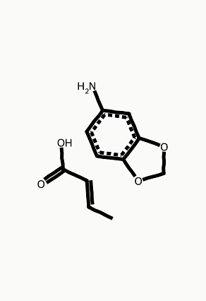 CC=CC(=O)O.Nc1ccc2c(c1)OCO2